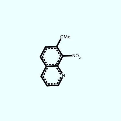 COc1ccc2cccnc2c1[N+](=O)[O-]